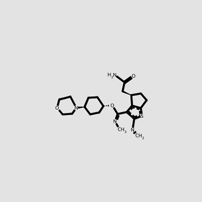 C=Nc1sc2c(c1/C(=N\C)O[C@H]1CC[C@H](N3CCOCC3)CC1)[C@@H](CC(N)=O)CC2